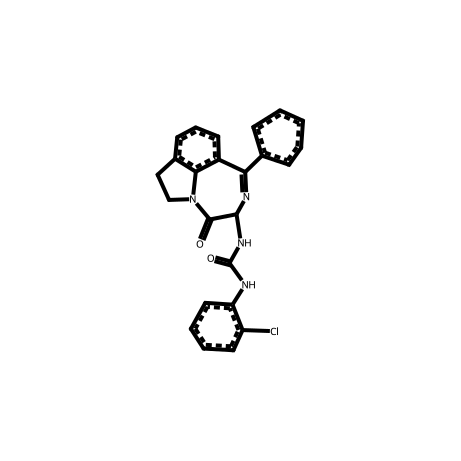 O=C(Nc1ccccc1Cl)NC1N=C(c2ccccc2)c2cccc3c2N(CC3)C1=O